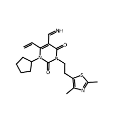 C=Cc1c(C=N)c(=O)n(CCc2sc(C)nc2C)c(=O)n1C1CCCC1